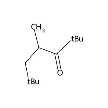 CC(CC(C)(C)C)C(=O)C(C)(C)C